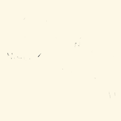 COC[C@H]1CCCC[C@@H]1c1ccc2cc(CO)ccc2n1